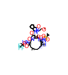 COCCn1nc(O[C@@H]2C[C@H]3C(=O)N[C@]4(C(=O)NS(=O)(=O)C5CC5)C[C@H]4/C=C\CC[C@@H](C)C[C@@H](C)[C@H](NC(=O)OC(C)(C)C(F)(F)F)C(=O)N3C2)c2ccccc2c1=O